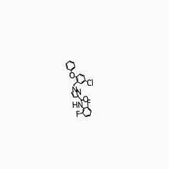 O=C(Nc1c(F)cccc1F)c1ccn(Cc2cc(Cl)ccc2Oc2ccccc2)n1